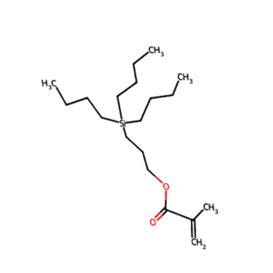 C=C(C)C(=O)OCCC[Si](CCCC)(CCCC)CCCC